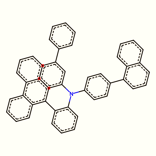 c1ccc(-c2cccc(N(c3ccc(-c4cccc5ccccc45)cc3)c3ccccc3-c3cc4ccccc4c4ccccc34)c2)cc1